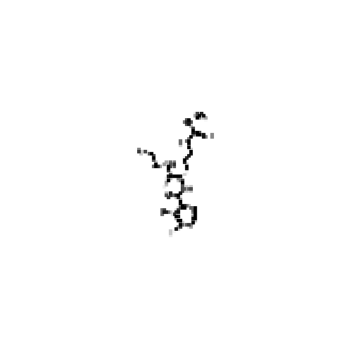 CC(C)C[CH]NC(=O)[C@H](CCCNC(=N)N[N+](=O)[O-])NC(=O)c1cccc(F)c1F